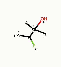 CCCC(F)[Si](C)(C)O